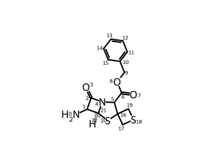 NC1C(=O)N2C(C(=O)OCc3ccccc3)C3(CSC3)S[C@@H]12